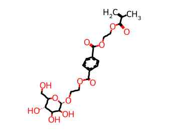 C=C(C)C(=O)OCCOC(=O)c1ccc(C(=O)OCCO[C@H]2OC(CO)[C@@H](O)C(O)C2O)cc1